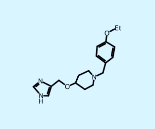 CCOc1ccc(CN2CCC(OCc3c[nH]cn3)CC2)cc1